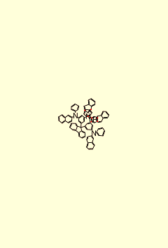 c1ccc(N(c2cc(N(c3ccccc3)c3ccc4ccccc4c3)cc(C3(c4cc(N(c5ccccc5)c5ccc6ccccc6c5)cc(N(c5ccccc5)c5ccc6ccccc6c5)c4)c4ccccc4-c4ccccc43)c2)c2ccc3ccccc3c2)cc1